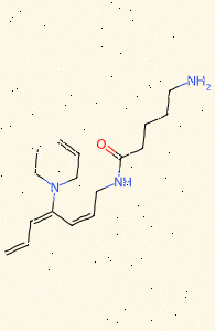 C=C/C=C(\C=C/CNC(=O)CCCCN)N(CC)CC=C